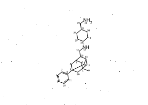 CC12CC3CC(c4ccccc4)(CC(C1)C3CN[C@H]1CC[C@H](CN)CC1)C2